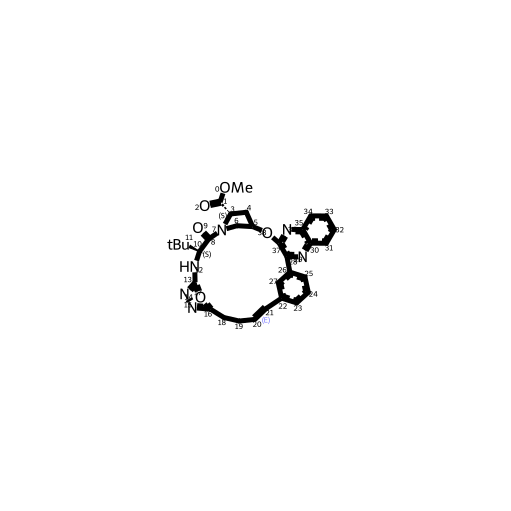 COC(=O)[C@@H]1CC2CN1C(=O)[C@H](C(C)(C)C)Nc1nnc(o1)CC/C=C/c1cccc(c1)-c1nc3ccccc3nc1O2